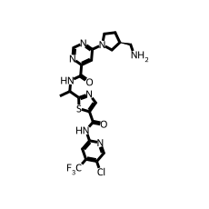 CC(NC(=O)c1cc(N2CC[C@@H](CN)C2)ncn1)c1ncc(C(=O)Nc2cc(C(F)(F)F)c(Cl)cn2)s1